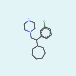 Clc1cccc(C(CN2CCNCC2)C2CCCCCC2)c1